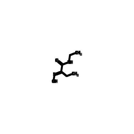 CCNC(=O)/C(CC)=N/O